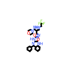 N=C(/C(=C\NCC(F)(F)F)c1nnc(N[C@H]2N=C(c3ccccc3)c3ccccc3NC2=O)o1)N1CCOCC1